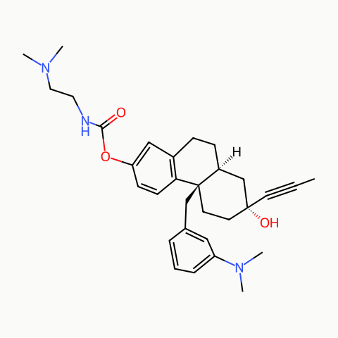 CC#C[C@@]1(O)CC[C@]2(Cc3cccc(N(C)C)c3)c3ccc(OC(=O)NCCN(C)C)cc3CC[C@H]2C1